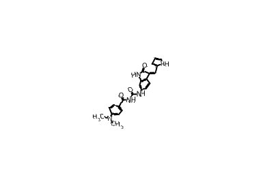 CN(C)c1ccc(C(=O)NC(=O)Nc2ccc3c(c2)NC(=O)C3=Cc2ccc[nH]2)cc1